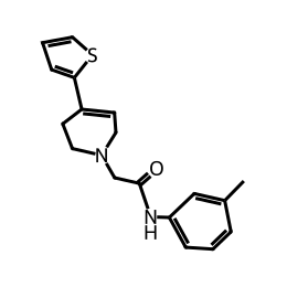 Cc1cccc(NC(=O)CN2CC=C(c3cccs3)CC2)c1